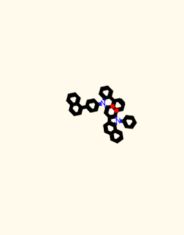 c1cccc(-c2ccccc2N(C2=Cc3c(n(-c4ccccc4)c4c3ccc3ccccc34)CC2)c2ccc(-c3cccc4ccccc34)cc2)c#1